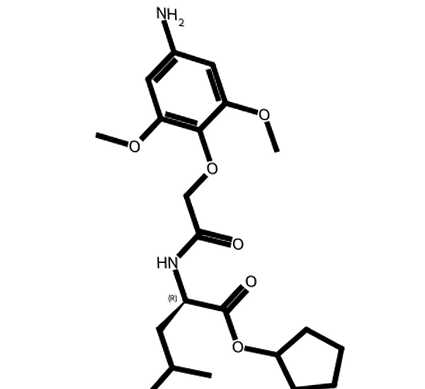 COc1cc(N)cc(OC)c1OCC(=O)N[C@H](CC(C)C)C(=O)OC1CCCC1